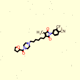 CC1=C(CCCCCCN2CCN(C(=O)C3CCCO3)CC2)C(=O)N(c2ccc(C#N)c(C(F)(F)F)c2)C1=O